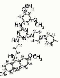 COc1cc(Nc2nc(NCCCNc3c4ccc(Cl)cc4nc4ccc(OC)cc34)nc(N3CCN(c4ccccc4)CC3)n2)cc(OC)c1